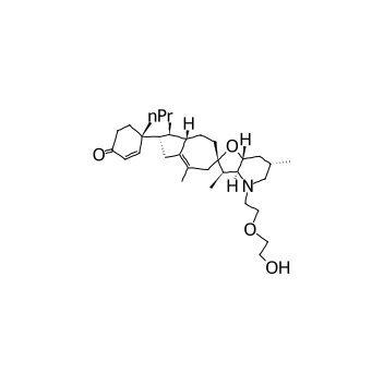 CCC[C@H]1[C@@H]2CC[C@@]3(CC(C)=C2C[C@@H]1[C@]1(C)C=CC(=O)CC1)O[C@@H]1C[C@H](C)CN(CCOCCO)[C@H]1[C@H]3C